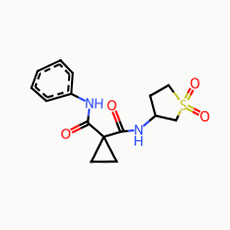 O=C(Nc1ccccc1)C1(C(=O)NC2CCS(=O)(=O)C2)CC1